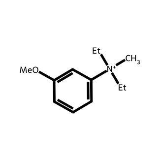 CC[N+](C)(CC)c1cccc(OC)c1